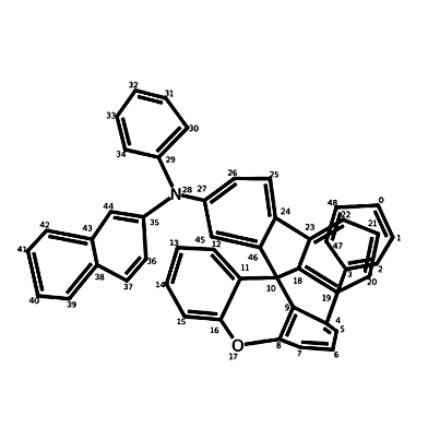 c1ccc(-c2cccc3c2C2(c4ccccc4O3)c3ccccc3-c3ccc(N(c4ccccc4)c4ccc5ccccc5c4)cc32)cc1